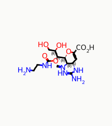 C=N[C@H]1[C@H]([C@H](OC(=O)NCCN)[C@H](O)CO)OC(C(=O)O)=C[C@@H]1NC(=N)N